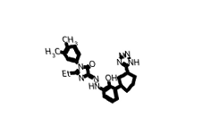 CCC1=NC(=NNc2cccc(C3CCCC(c4nnn[nH]4)C3)c2O)C(=O)N1c1ccc(C)c(C)c1